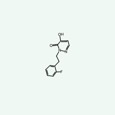 O=c1c(O)ccnn1CCc1ccccc1F